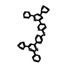 c1ccc(-c2cc(-c3ccccc3)nc(-c3ccc(Sc4ccc(-c5cc(-c6ccccc6)nc(-c6ccccc6)n5)cc4)cc3)c2)cc1